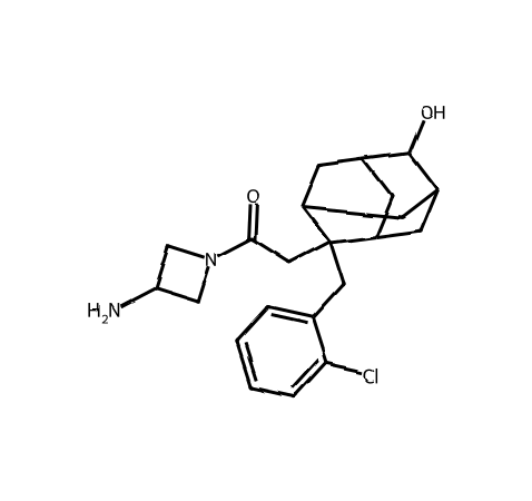 NC1CN(C(=O)CC2(Cc3ccccc3Cl)C3CC4CC2CC(C3)C4O)C1